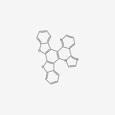 c1ccc2c(c1)oc1c3oc4ccccc4c3c3c(c4ncccc4c4nccn43)c21